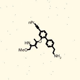 CCCC#Cc1ccc(-c2ccc(CCN)cc2)c(O/C(C)=C(\C)C(=N)COC)c1